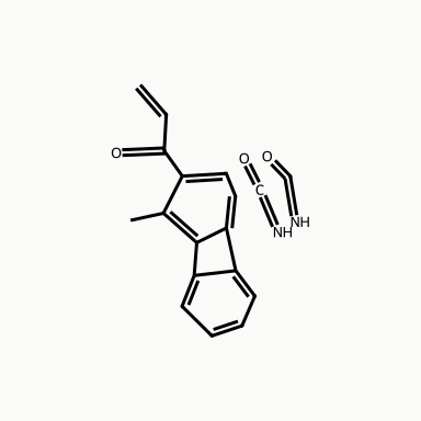 C=CC(=O)c1ccc2c(c1C)-c1ccccc1-2.N=C=O.N=C=O